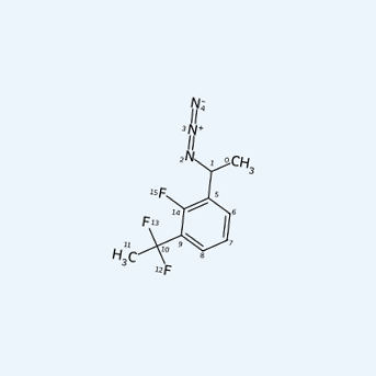 CC(N=[N+]=[N-])c1cccc(C(C)(F)F)c1F